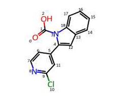 O=C(O)n1c(-c2ccnc(Cl)c2)cc2ccccc21